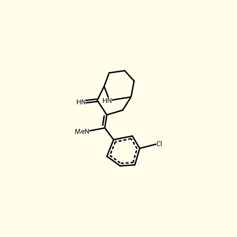 CN/C(=C1/CC2CCCC(N2)C1=N)c1cccc(Cl)c1